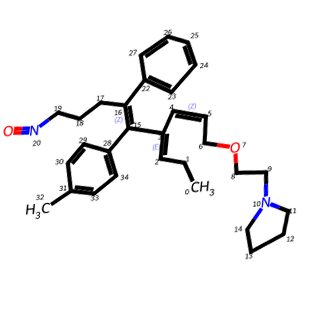 CC/C=C(\C=C/COCCN1CCCC1)C(=C(/CCCN=O)c1ccccc1)/c1ccc(C)cc1